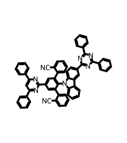 N#Cc1ccccc1-c1cc(-c2nc(-c3ccccc3)cc(-c3ccccc3)n2)cc(-c2ccccc2C#N)c1-n1c2ccccc2c2cc(-c3nc(-c4ccccc4)nc(-c4ccccc4)n3)ccc21